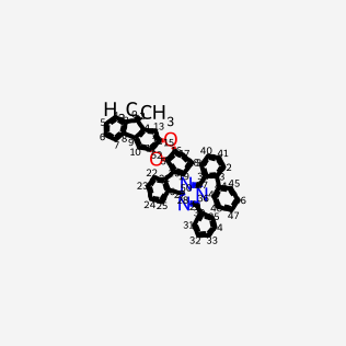 CC1(C)c2ccccc2-c2cc3c(cc21)Oc1cccc(-c2ccccc2-c2nc(-c4ccccc4)nc(-c4ccccc4-c4ccccc4)n2)c1O3